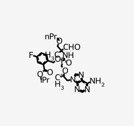 CCCOCC(C)(C=O)NP(=O)(CO[C@H](C)Cn1cnc2c(N)ncnc21)OCc1ccc(F)cc1C(=O)OC(C)C